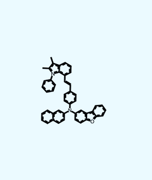 Cc1c(C)n(-c2ccccc2)c2c(/C=C/c3ccc(N(c4ccc5ccccc5c4)c4ccc5oc6ccccc6c5c4)cc3)cccc12